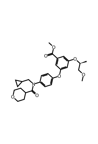 COC[C@H](C)Oc1cc(Oc2ccc(N(CC3CC3)C(=O)C3CCOCC3)cc2)cc(C(=O)OC)c1